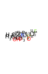 CCCC1(C(=O)N2CCC([S+]([O-])c3ccc(F)cc3)C2)CCC(C)(C(C)(C)O)C1